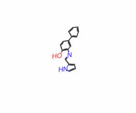 Oc1ccc(-c2ccccc2)cc1/N=C/c1ccc[nH]1